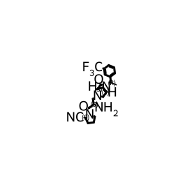 C[C@H](c1cccc(C(F)(F)F)c1)N1C(=O)[C@@H]2C[C@H]1CN2C[C@H](N)C(=O)N1CCC[C@H]1C#N